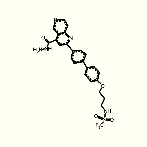 NNC(=O)c1cc(-c2ccc(-c3ccc(OCCCNS(=O)(=O)C(F)(F)F)cc3)cc2)nc2ccncc12